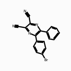 N#Cc1nc(-c2ccccc2)c(-c2ccc(Br)cc2)nc1C#N